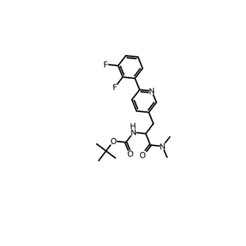 CN(C)C(=O)C(Cc1ccc(-c2cccc(F)c2F)nc1)NC(=O)OC(C)(C)C